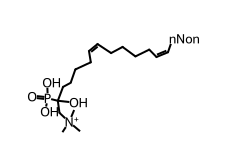 CCCCCCCCC/C=C\CCCC/C=C\CCCCC(O)(C[N+](C)(C)C)P(=O)(O)O